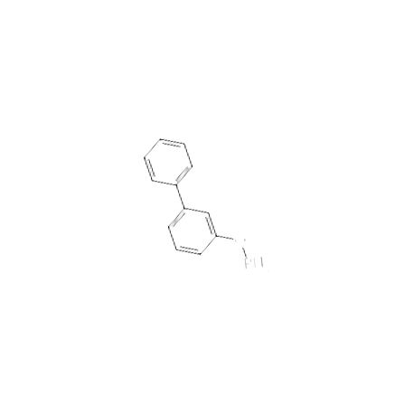 POc1cccc(-c2ccccc2)c1